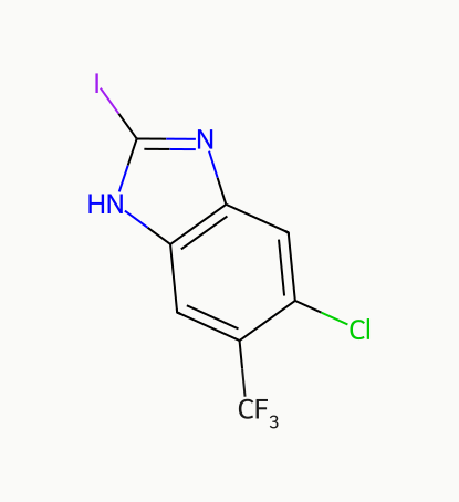 FC(F)(F)c1cc2[nH]c(I)nc2cc1Cl